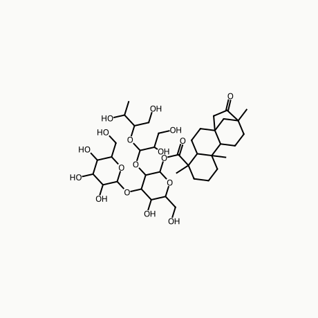 CC(O)C(CO)OC(OC1C(OC(=O)C2(C)CCCC3(C)C4CCC5(C)CC4(CCC23)CC5=O)OC(CO)C(O)C1OC1OC(CO)C(O)C(O)C1O)C(O)CO